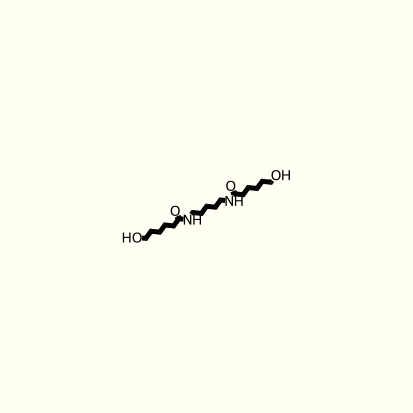 O=C(CCCCCO)NCCCCCNC(=O)CCCCCO